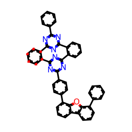 c1ccc(-c2nc(-c3ccccc3)nc(-c3ccccc3-c3nc(-c4ccccc4)nc(-c4ccc(-c5cccc6c5oc5c(-c7ccccc7)cccc56)cc4)n3)n2)cc1